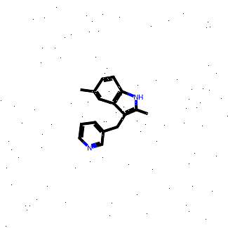 Cc1ccc2[nH]c(C)c(Cc3cccnc3)c2c1